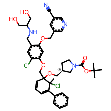 CC(C)(C)OC(=O)N1CC[C@H](COC2(COc3cc(OCc4cncc(C#N)c4)c(CNC(CO)CO)cc3Cl)C=CC=C(c3ccccc3)C2(C)Cl)C1